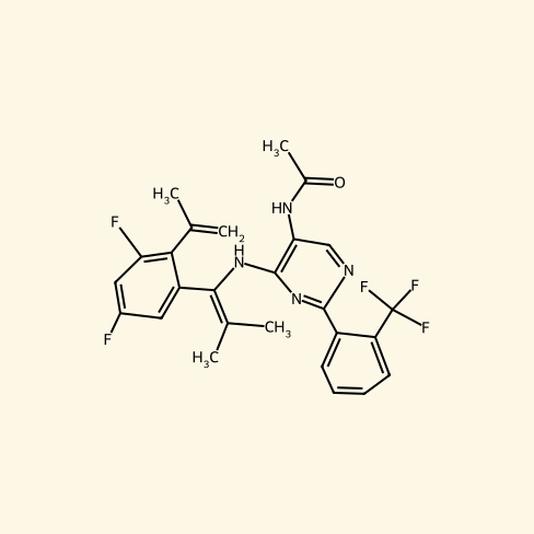 C=C(C)c1c(F)cc(F)cc1C(Nc1nc(-c2ccccc2C(F)(F)F)ncc1NC(C)=O)=C(C)C